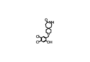 O=C1CCC2(CCN1)CCN(Cc1cc(Cl)c(Cl)cc1O)CC2